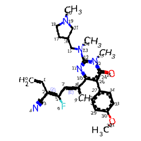 C=C/C(C#N)=C(F)\C=C(/C)c1nc(N(C)CC2CCN(C)C2)n(C)c(=O)c1-c1ccc(OC)cc1